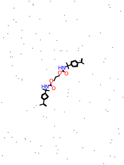 C=C(C)c1ccc(C(C)(C)NC(=O)OCCCOC(=O)NC(C)(C)c2ccc(C(=C)C)cc2)cc1